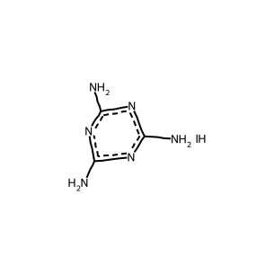 I.Nc1nc(N)nc(N)n1